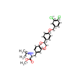 COC(=O)[C@H](Cc1ccc2c(c1)OCC(c1ccc(OCc3ccc(Cl)c(Cl)c3)cc1)O2)NC(C)C